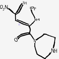 CC(C)N/C(=C\C(=N)[N+](=O)[O-])C(=O)N1CCNCC1